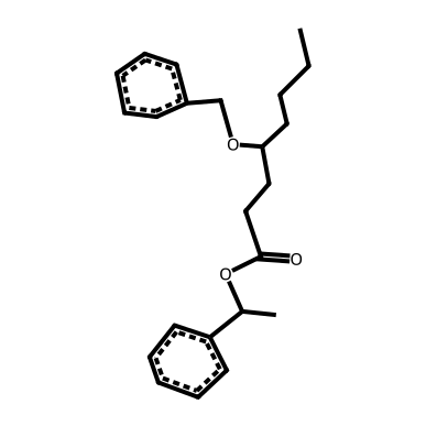 CCCCC(CCC(=O)OC(C)c1ccccc1)OCc1ccccc1